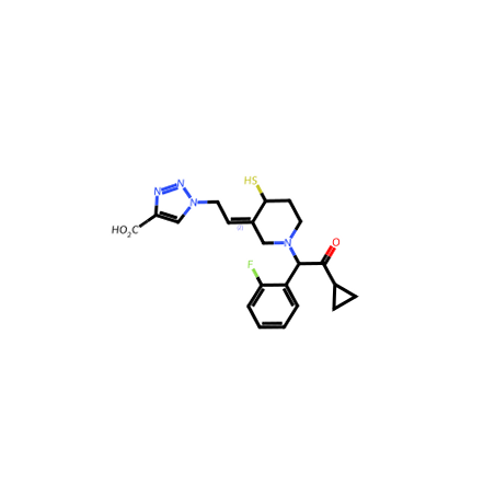 O=C(O)c1cn(C/C=C2/CN(C(C(=O)C3CC3)c3ccccc3F)CCC2S)nn1